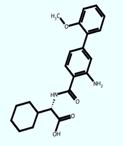 COc1ccccc1-c1ccc(C(=O)N[C@H](C(=O)O)C2CCCCC2)c(N)c1